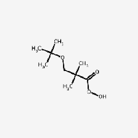 CC(C)(C)OCC(C)(C)C(=O)OO